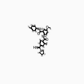 COc1ccc(NC(=O)c2ccc(C(=N)N3CCCC3)cc2F)c(C(=O)Nc2ccc(C)cc2)c1